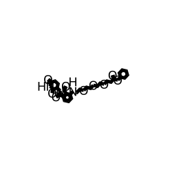 O=C1CCC(N2C(=O)c3cccc(NCCOCCOCCOCCC(=O)OC4CCCCC4)c3C2=O)C(=O)N1